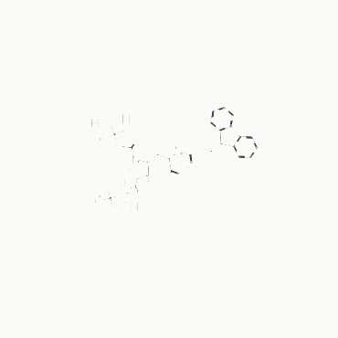 CC(C)(C)OC(=O)N1CC(O[Si](C)(C)C(C)(C)C)CC1CC(NC(=O)OCC1c2ccccc2-c2ccccc21)C(=O)O